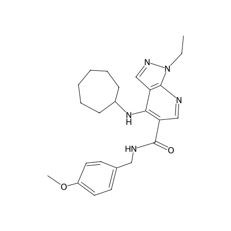 CCn1ncc2c(NC3CCCCCC3)c(C(=O)NCc3ccc(OC)cc3)cnc21